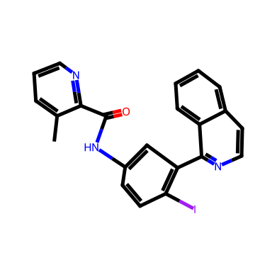 Cc1cccnc1C(=O)Nc1ccc(I)c(-c2nccc3ccccc23)c1